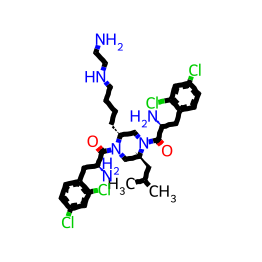 CC(C)C[C@H]1CN(C(=O)[C@H](N)Cc2ccc(Cl)cc2Cl)[C@H](CCCCNCCN)CN1C(=O)[C@H](N)Cc1ccc(Cl)cc1Cl